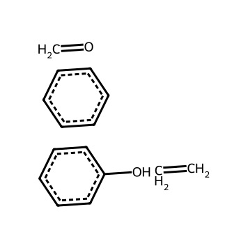 C=C.C=O.Oc1ccccc1.c1ccccc1